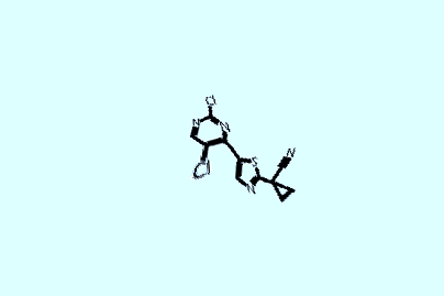 N#CC1(c2ncc(-c3nc(Cl)ncc3Cl)s2)CC1